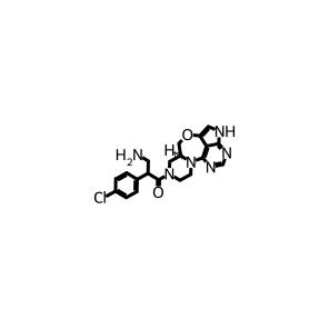 NCC(C(=O)N1CCN2c3ncnc4[nH]cc(c34)OC[C@@H]2C1)c1ccc(Cl)cc1